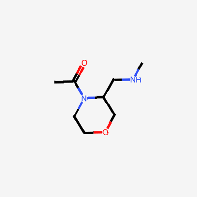 CNCC1COCCN1C(C)=O